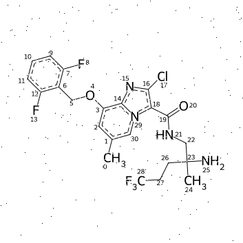 Cc1cc(OCc2c(F)cccc2F)c2nc(Cl)c(C(=O)NCC(C)(N)CCC(F)(F)F)n2c1